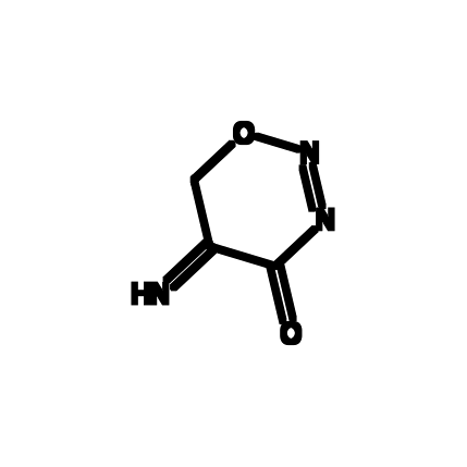 N=C1CON=NC1=O